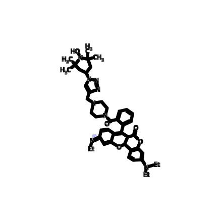 CC/N=C1/C=CC2=C(c3ccccc3C(=O)N3CCN(Cc4cn(C5CC(C)(C)N(O)C(C)(C)C5)nn4)CC3)C3C(=O)Oc4cc(N(CC)CC)ccc4C3OC2=C1